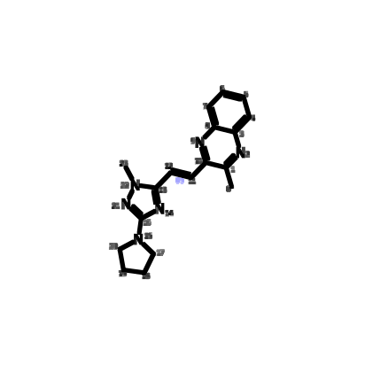 Cc1nc2ccccc2nc1/C=C/c1nc(N2CCCC2)nn1C